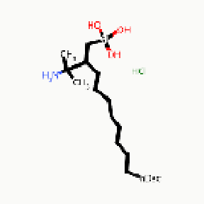 CCCCCCCCCCCCCCCCCCC(C[Si](O)(O)O)C(C)(C)N.Cl